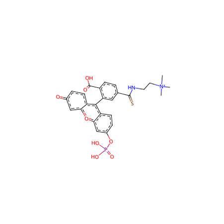 C[N+](C)(C)CCNC(=S)c1ccc(C(=O)O)c(-c2c3ccc(=O)cc-3oc3cc(OP(=O)(O)O)ccc23)c1